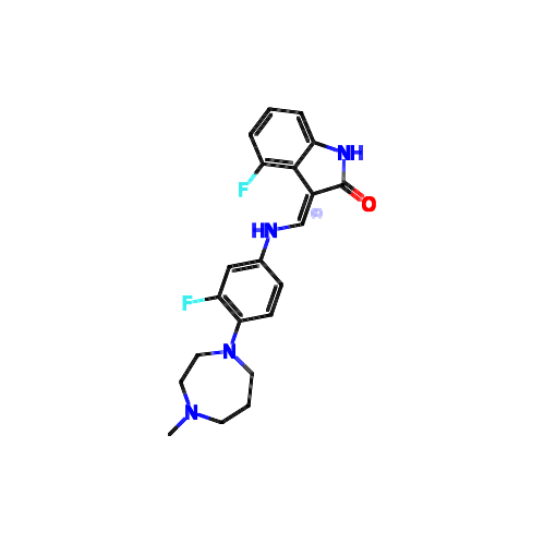 CN1CCCN(c2ccc(N/C=C3/C(=O)Nc4cccc(F)c43)cc2F)CC1